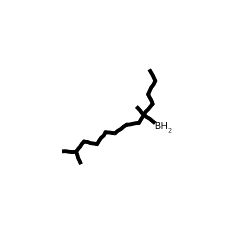 BC(C)(CCCC)CCCCCCC(C)C